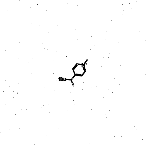 CC(c1cc[n+](C)cc1)C(C)(C)C